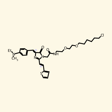 CCN(C)c1ccc(/C=C2N=C(/C=C/c3cccs3)N(CC(=O)NCCOCCOCCCCCCCl)C\2=O)cc1